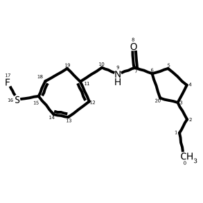 CCCC1CCC(C(=O)NCC2=CC=CC(SF)=CC2)C1